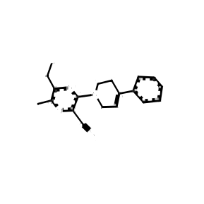 CCc1nc(N2CC=C(c3ccccc3)CC2)c(C#N)nc1C